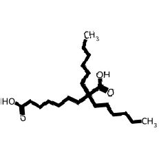 CCCCCCC(CCCCCC)(CCCCCCC(=O)O)C(=O)O